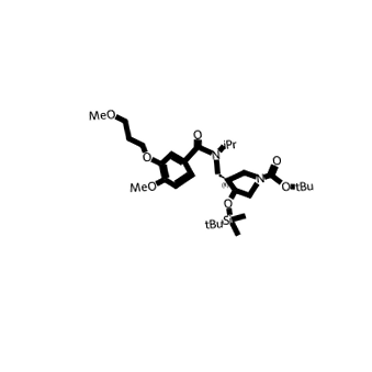 COCCCOc1cc(C(=O)N(C[C@@H]2CN(C(=O)OC(C)(C)C)CC2O[Si](C)(C)C(C)(C)C)C(C)C)ccc1OC